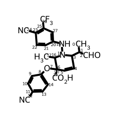 CC(C=O)C1C=C[C@@](Oc2ccc(C#N)cc2)(C(=O)O)C(C)N1Nc1ccc(C#N)c(C(F)(F)F)c1